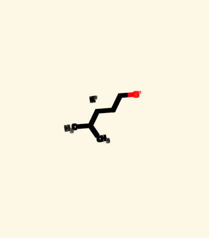 CC(C)CCC[O-].[K+]